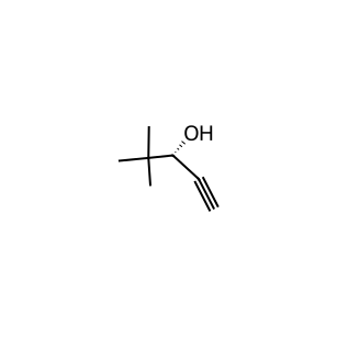 C#C[C@@H](O)C(C)(C)C